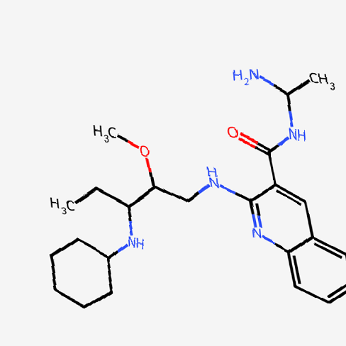 CCC(NC1CCCCC1)C(CNc1nc2ccccc2cc1C(=O)NC(C)N)OC